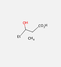 C.CCC(O)CC(=O)O